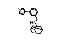 c1cc(CNC23CC4CC(CC(C4)C2)C3)cc(-c2ccsc2)c1